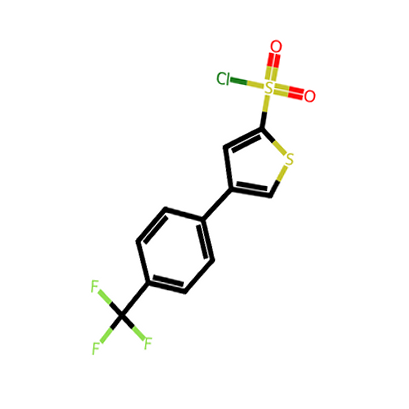 O=S(=O)(Cl)c1cc(-c2ccc(C(F)(F)F)cc2)cs1